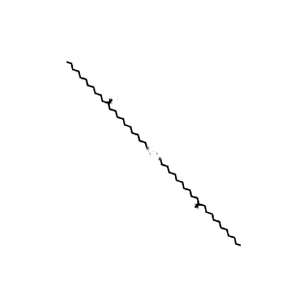 CCCCCCCCCCCC(=O)CCCCCCCCCCCOOCCCCCCCCCCCC(=O)CCCCCCCCCCC